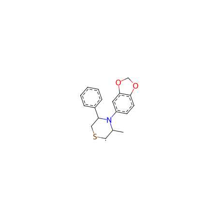 CC1[CH]SCC(c2ccccc2)N1c1ccc2c(c1)OCO2